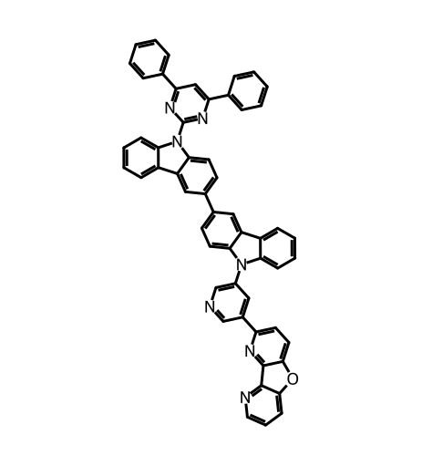 c1ccc(-c2cc(-c3ccccc3)nc(-n3c4ccccc4c4cc(-c5ccc6c(c5)c5ccccc5n6-c5cncc(-c6ccc7oc8cccnc8c7n6)c5)ccc43)n2)cc1